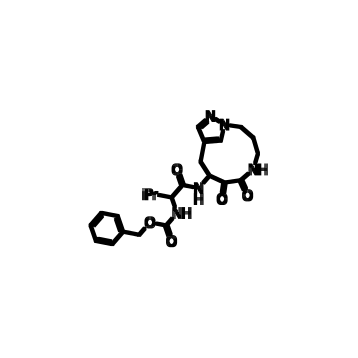 CC(C)C(NC(=O)OCc1ccccc1)C(=O)NC1Cc2cnn(c2)CCCNC(=O)C1=O